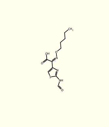 CCCCCO/N=C(\C(=O)O)c1csc(NC=O)n1